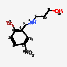 O=[N+]([O-])c1ccc(Br)c(CNCCCO)c1